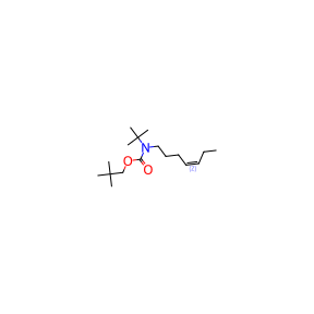 CC/C=C\CCCN(C(=O)OCC(C)(C)C)C(C)(C)C